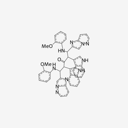 COc1ccccc1NC(c1cn2ncccc2n1)C(C(=O)C(c1c[nH]c2ccccc12)C(Nc1ccccc1OC)c1cn2ncccc2n1)c1c[nH]c2ccccc12